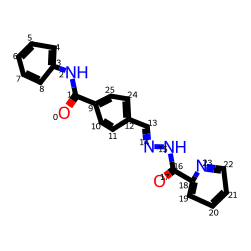 O=C(Nc1ccccc1)c1ccc(C=NNC(=O)c2ccccn2)cc1